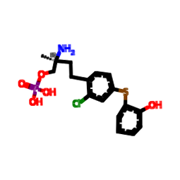 C[C@](N)(CCc1ccc(Sc2ccccc2O)cc1Cl)COP(=O)(O)O